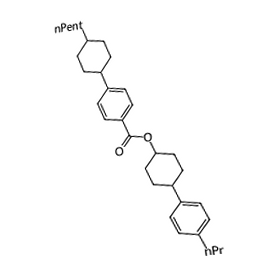 CCCCCC1CCC(c2ccc(C(=O)OC3CCC(c4ccc(CCC)cc4)CC3)cc2)CC1